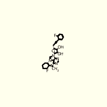 CN(c1ncnc2c1ncn2[C@@H]1O[C@H](CC#Cc2ccccc2F)[C@@H](O)[C@H]1O)C1CCCCC1F